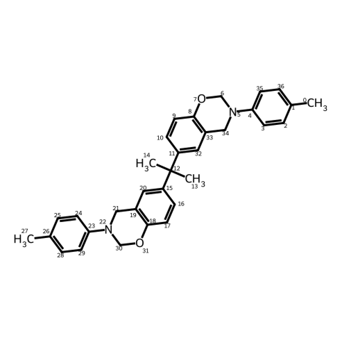 Cc1ccc(N2COc3ccc(C(C)(C)c4ccc5c(c4)CN(c4ccc(C)cc4)CO5)cc3C2)cc1